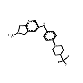 CN1Cc2cc(Nc3ccc(N4CCC(C(F)(F)F)CC4)cc3)cnc2C1